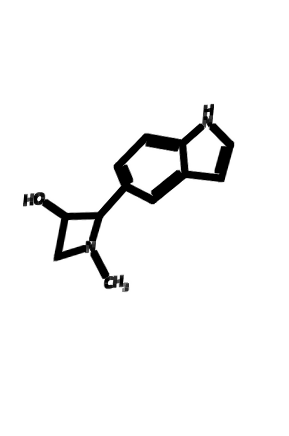 CN1CC(O)C1c1ccc2[nH]ccc2c1